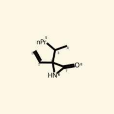 C=CC1(C(C)CCC)NC1=O